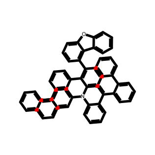 c1ccc(-c2ccc(N(c3ccccc3-c3cc4ccccc4c4ccccc34)c3cccc(-c4cccc5oc6ccccc6c45)c3-c3cccc(-c4ccccc4)c3)cc2)cc1